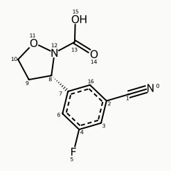 N#Cc1cc(F)cc([C@@H]2CCON2C(=O)O)c1